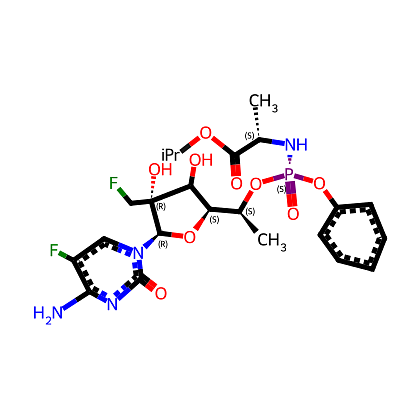 CC(C)OC(=O)[C@H](C)N[P@@](=O)(Oc1ccccc1)O[C@@H](C)[C@H]1O[C@@H](n2cc(F)c(N)nc2=O)[C@@](O)(CF)C1O